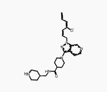 C=C/C=C(Cl)\C=C/Cn1nc(N2CCC(C(=O)NCC3CCNCC3)CC2)c2ccncc21